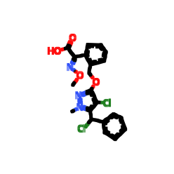 CO/N=C(/C(=O)O)c1ccccc1COc1nn(C)c(C(Cl)c2ccccc2)c1Cl